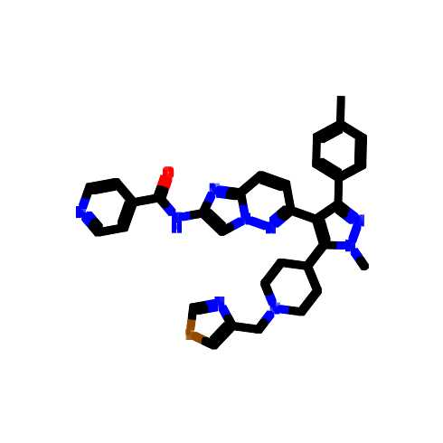 Cc1ccc(-c2nn(C)c(C3CCN(Cc4cscn4)CC3)c2-c2ccc3nc(NC(=O)c4ccncc4)cn3n2)cc1